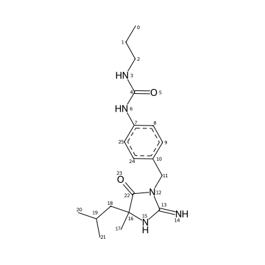 CCCNC(=O)Nc1ccc(CN2C(=N)NC(C)(CC(C)C)C2=O)cc1